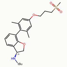 Cc1cc(OCCCS(C)(=O)=O)cc(C)c1-c1cccc2c1OC[C@H]2NC(C)(C)C